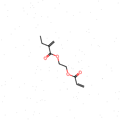 C=CC(=O)OCCOC(=O)C(=C)CC